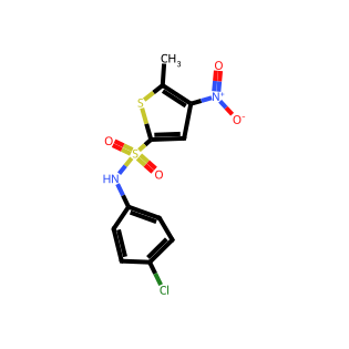 Cc1sc(S(=O)(=O)Nc2ccc(Cl)cc2)cc1[N+](=O)[O-]